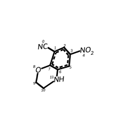 N#Cc1cc([N+](=O)[O-])cc2c1OCCN2